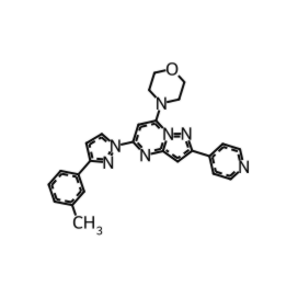 Cc1cccc(-c2ccn(-c3cc(N4CCOCC4)n4nc(-c5ccncc5)cc4n3)n2)c1